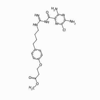 COC(=O)CCOc1ccc(CCCCNC(=N)NC(=O)c2nc(Cl)c(N)nc2N)cc1